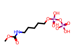 COC(=O)NCCCCCOP(=O)(O)OP(=O)(O)O